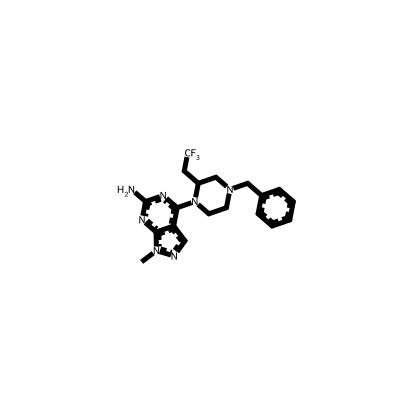 Cn1ncc2c(N3CCN(Cc4ccccc4)CC3CC(F)(F)F)nc(N)nc21